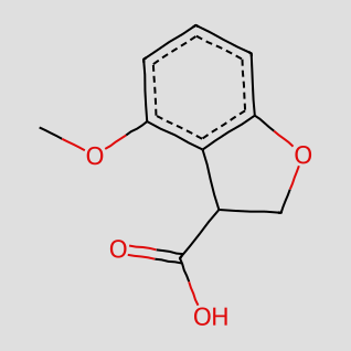 COc1cccc2c1C(C(=O)O)CO2